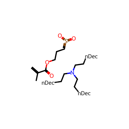 C=C(C)C(=O)OCCC=S(=O)=O.CCCCCCCCCCCCN(CCCCCCCCCCCC)CCCCCCCCCCCC